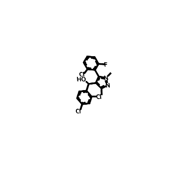 Cc1nn(C)c(-c2c(F)cccc2Cl)c1C(O)c1ccc(Cl)cc1Cl